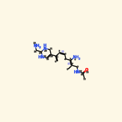 C=C(/C=C\C/C(N)=C(\C)CNC(C)=O)C1=CNC(CN)NC1